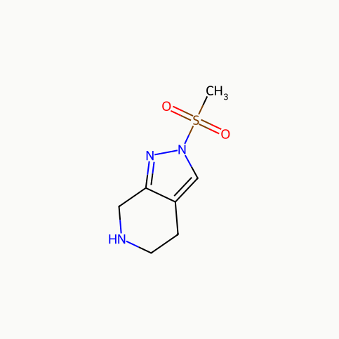 CS(=O)(=O)n1cc2c(n1)CNCC2